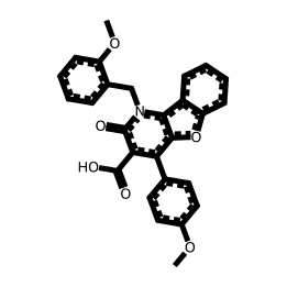 COc1ccc(-c2c(C(=O)O)c(=O)n(Cc3ccccc3OC)c3c2oc2ccccc23)cc1